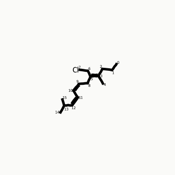 CCC/C(C)=C(\CCl)C/C=C\C=C/C(C)C